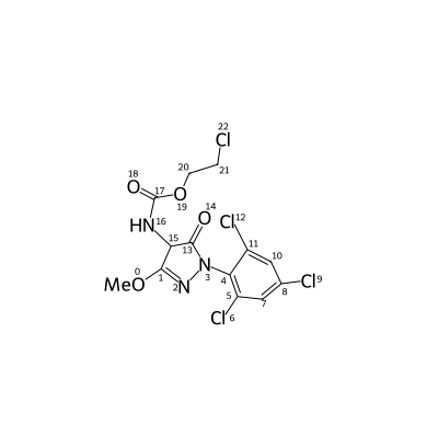 COC1=NN(c2c(Cl)cc(Cl)cc2Cl)C(=O)C1NC(=O)OCCCl